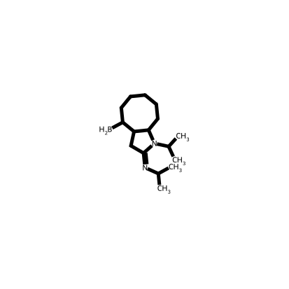 BC1CCCCCC2C1C/C(=N/C(C)C)N2C(C)C